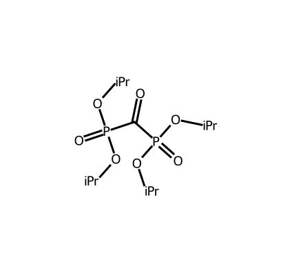 CC(C)OP(=O)(OC(C)C)C(=O)P(=O)(OC(C)C)OC(C)C